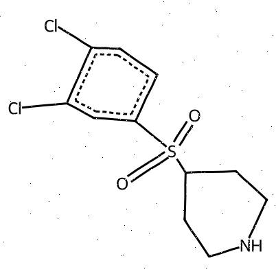 O=S(=O)(c1ccc(Cl)c(Cl)c1)C1CCNCC1